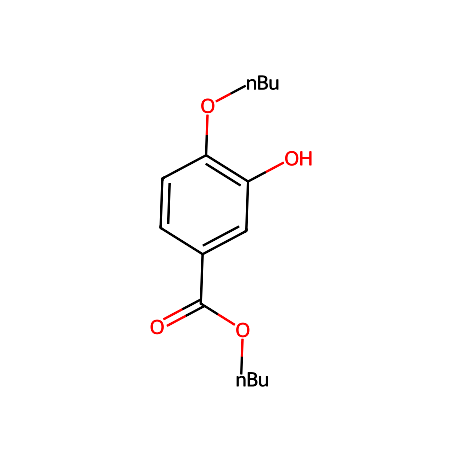 CCCCOC(=O)c1ccc(OCCCC)c(O)c1